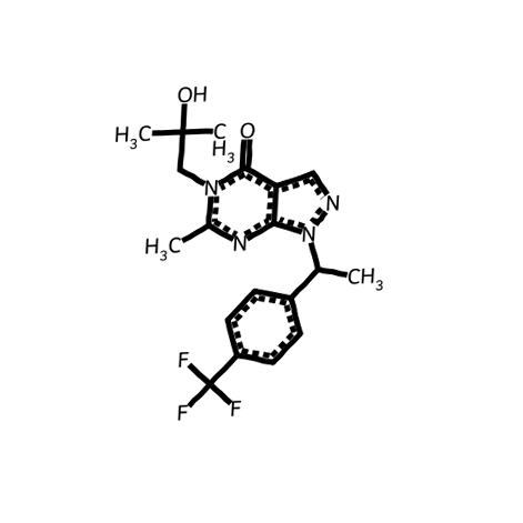 Cc1nc2c(cnn2C(C)c2ccc(C(F)(F)F)cc2)c(=O)n1CC(C)(C)O